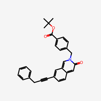 CC(C)(C)OC(=O)c1ccc(Cn2cc3cc(C#CCc4ccccc4)ccc3cc2=O)cc1